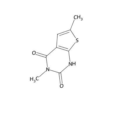 Cc1cc2c(=O)n(C)c(=O)[nH]c2s1